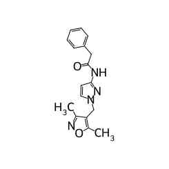 Cc1noc(C)c1Cn1ccc(NC(=O)Cc2ccccc2)n1